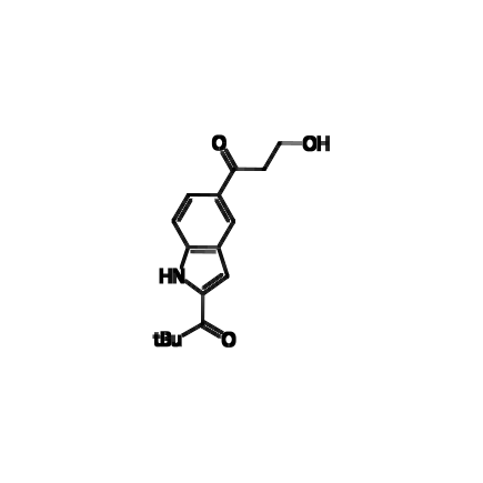 CC(C)(C)C(=O)c1cc2cc(C(=O)CCO)ccc2[nH]1